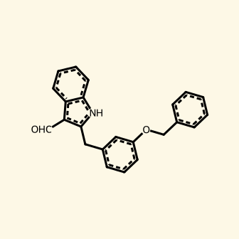 O=Cc1c(Cc2cccc(OCc3ccccc3)c2)[nH]c2ccccc12